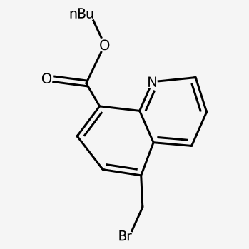 CCCCOC(=O)c1ccc(CBr)c2cccnc12